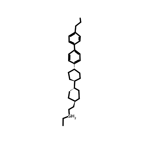 CCCc1ccc(-c2ccc([C@H]3CC[C@H]([C@H]4CC[C@H](CC[SiH2]CC)CC4)CC3)cc2)cc1